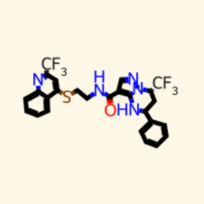 O=C(NCCSc1cc(C(F)(F)F)nc2ccccc12)c1cnn2c1NC(c1ccccc1)CC2C(F)(F)F